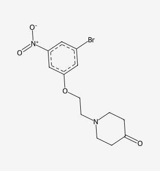 O=C1CCN(CCOc2cc(Br)cc([N+](=O)[O-])c2)CC1